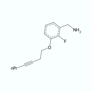 CCCC#CCCOc1cccc(CN)c1F